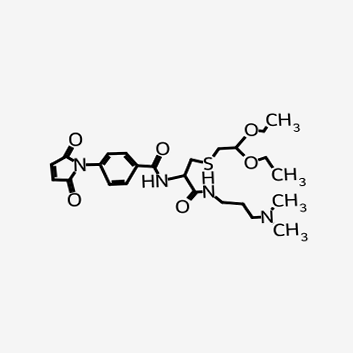 CCOC(CSCC(NC(=O)c1ccc(N2C(=O)C=CC2=O)cc1)C(=O)NCCCN(C)C)OCC